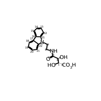 O=C(O)[C@H](O)[C@@H](O)C(=O)NCCn1c2ccccc2c2ccccc21